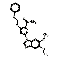 COc1cc2ncn(-c3cc(OCCc4ccccc4)c(C(N)=O)s3)c2cc1OC